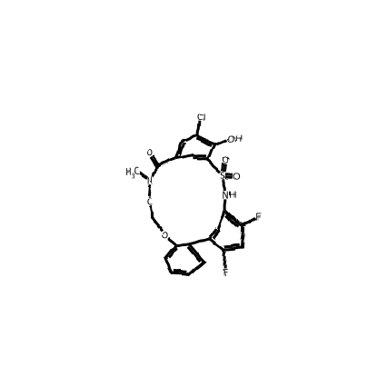 CN1CCOc2ccccc2-c2cc(c(F)cc2F)NS(=O)(=O)c2cc(cc(Cl)c2O)C1=O